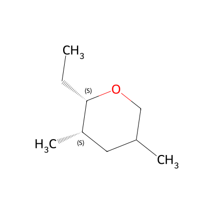 CC[C@@H]1OCC(C)C[C@@H]1C